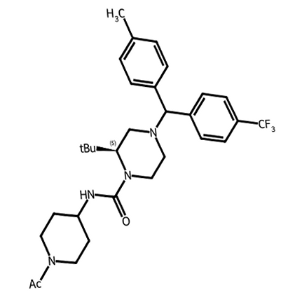 CC(=O)N1CCC(NC(=O)N2CCN(C(c3ccc(C)cc3)c3ccc(C(F)(F)F)cc3)C[C@@H]2C(C)(C)C)CC1